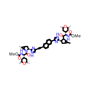 COC(=O)NC(C(=O)C1C2C(C)C2C[C@H]1c1nc(-c2ccc3cc(C#Cc4c[nH]c([C@@H]5CC6C([C@@H]6C)N5C(=O)C(NC(=O)OC)[C@H]5C[C@@H](C)O[C@@H](C)C5)n4)ccc3c2)c[nH]1)[C@H]1C[C@@H](C)O[C@@H](C)C1